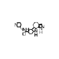 O=C(NCc1cccnc1)c1ccc2[nH]c3c(c2c1)CCCc1cn[nH]c1-3